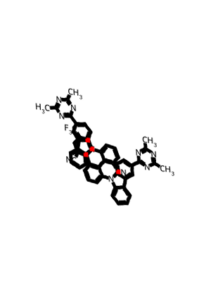 Cc1nc(C)nc(-c2ccc3c(c2)c2ccccc2n3-c2cccc(C#N)c2-c2c(-c3ccc(C(F)(F)F)cc3C#N)cccc2-n2c3ccccc3c3cc(-c4nc(C)nc(C)n4)ccc32)n1